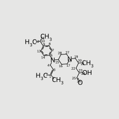 CC(C)=CCN(c1ccc(C(C)C)cc1)C1CCN(CC(C)CC(O)C=O)CC1